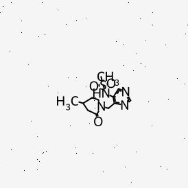 CC1CCN(Cc2ncncc2NS(C)(=O)=O)C(=O)C1